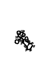 ClC1(c2cc3ccccc3o2)COCO1